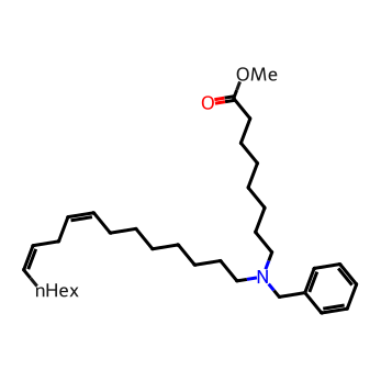 CCCCCC/C=C\C/C=C\CCCCCCCN(CCCCCCCC(=O)OC)Cc1ccccc1